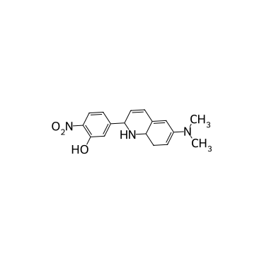 CN(C)C1=CCC2NC(c3ccc([N+](=O)[O-])c(O)c3)C=CC2=C1